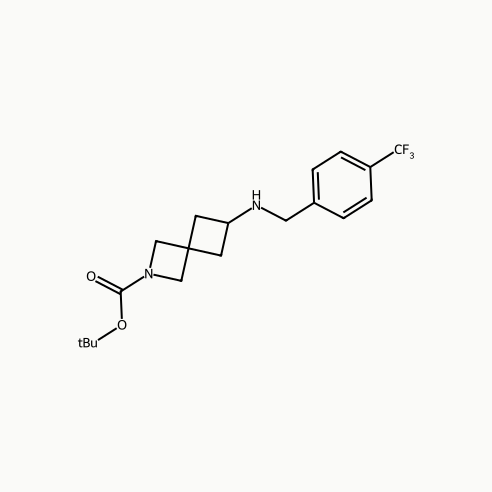 CC(C)(C)OC(=O)N1CC2(CC(NCc3ccc(C(F)(F)F)cc3)C2)C1